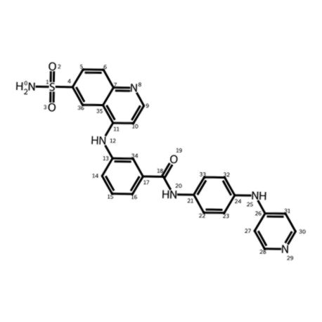 NS(=O)(=O)c1ccc2nccc(Nc3cccc(C(=O)Nc4ccc(Nc5ccncc5)cc4)c3)c2c1